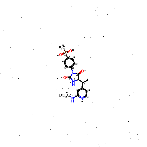 CCOC(=O)Nc1cc(C(C)C2NC(=O)N(c3ccc(S(=O)(=O)C(F)(F)F)cc3)C2=O)ccn1